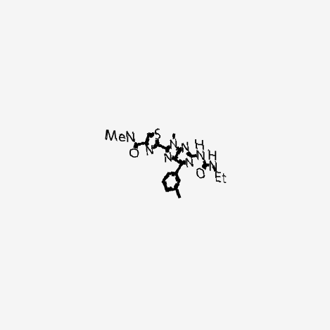 CCNC(=O)Nc1nc(-c2cccc(C)c2)c2nc(-c3nc(C(=O)NC)cs3)n(C)c2n1